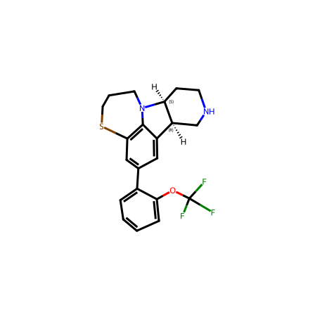 FC(F)(F)Oc1ccccc1-c1cc2c3c(c1)[C@@H]1CNCC[C@@H]1N3CCCS2